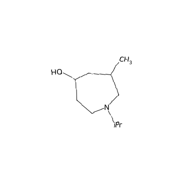 CC1CC(O)CCN(C(C)C)C1